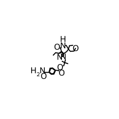 CCc1nn(CC(C)(C)COC(=O)c2ccc(C(N)=O)cc2)c2c1C(=O)NCC1(CCOCC1)C2